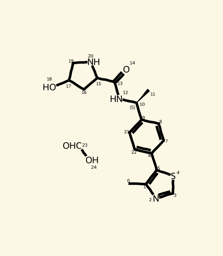 Cc1ncsc1-c1ccc([C@H](C)NC(=O)C2CC(O)CN2)cc1.O=CO